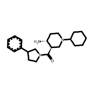 N[C@@H]1CCN(C2CCCCC2)C[C@H]1C(=O)N1CCC(c2ccccc2)C1